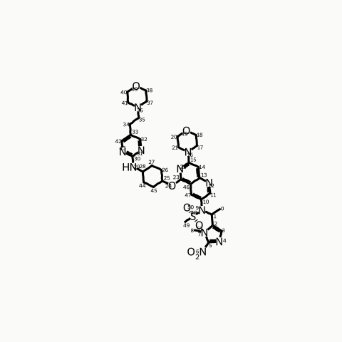 CC(c1cnc([N+](=O)[O-])n1C)N(c1cnc2cc(N3CCOCC3)nc(OC3CCC(Nc4ncc(CCN5CCOCC5)cn4)CC3)c2c1)S(C)(=O)=O